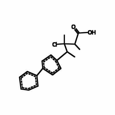 CC(C(=O)O)C(C)(Cl)C(C)c1ccc(-c2ccccc2)cc1